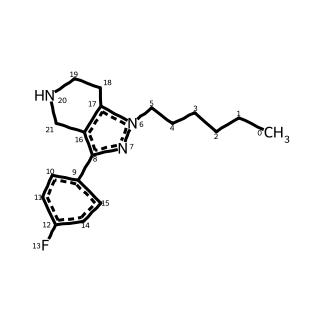 CCCCCCn1nc(-c2ccc(F)cc2)c2c1CCNC2